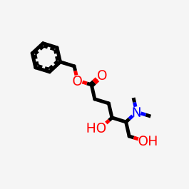 CN(C)C(CO)C(O)CCC(=O)OCc1ccccc1